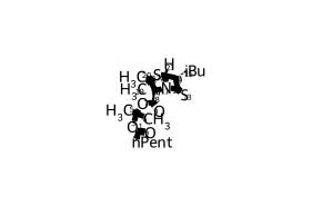 CCCCCC(=O)OC(C)(C)OC(=O)[C@@H]1N2C(=S)[C@@H](C(C)CC)[C@H]2SC1(C)C